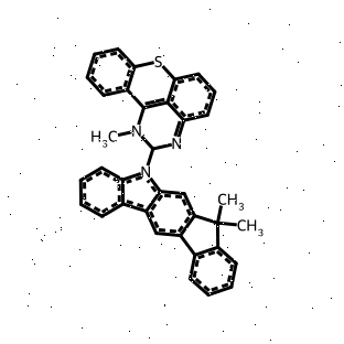 CN1C2=c3c(cccc3=NC1n1c3ccccc3c3cc4c(cc31)C(C)(C)c1ccccc1-4)Sc1ccccc12